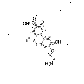 CCC1Cc2cc(OCCN)c(O)cc2-c2cc(=O)c(C(=O)N=O)cn21